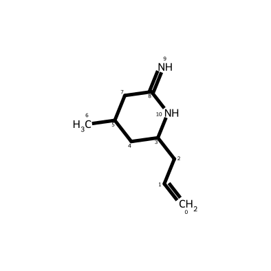 C=CCC1CC(C)CC(=N)N1